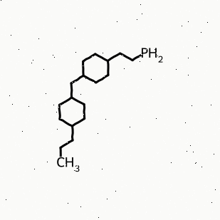 CCCC1CCC(CC2CCC(CCP)CC2)CC1